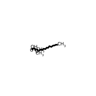 CCCCCCCCCCCCCC[N+](C)(C)CCC(=O)O